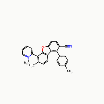 Cc1ccc(-c2c(C#N)ccc3oc4c(-c5cccc[n+]5C)c(C)ccc4c23)cc1